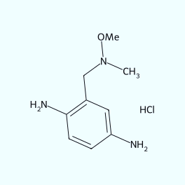 CON(C)Cc1cc(N)ccc1N.Cl